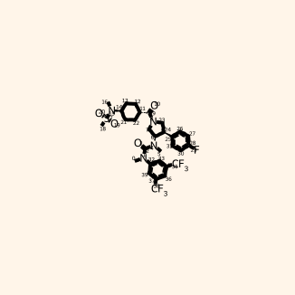 CN(C(=O)N(C)[C@@H]1CN(C(=O)[C@H]2CC[C@H](N(C)S(C)(=O)=O)CC2)C[C@H]1c1ccc(F)cc1)c1cc(C(F)(F)F)cc(C(F)(F)F)c1